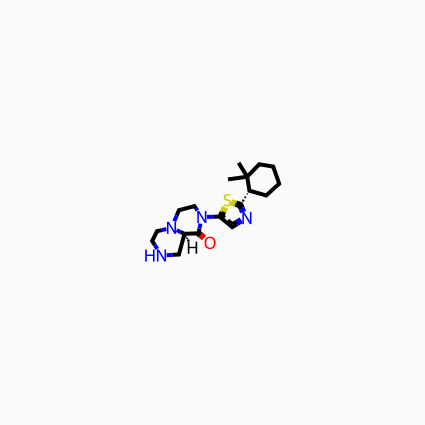 CC1(C)CCCC[C@@H]1c1ncc(N2CCN3CCNC[C@@H]3C2=O)s1